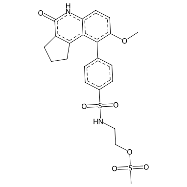 COc1ccc2[nH]c(=O)c3c(c2c1-c1ccc(S(=O)(=O)NCCOS(C)(=O)=O)cc1)CCC3